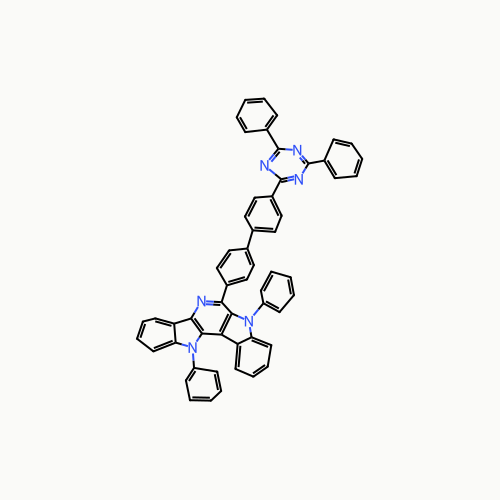 c1ccc(-c2nc(-c3ccccc3)nc(-c3ccc(-c4ccc(-c5nc6c7ccccc7n(-c7ccccc7)c6c6c7ccccc7n(-c7ccccc7)c56)cc4)cc3)n2)cc1